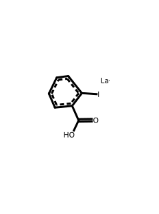 O=C(O)c1ccccc1I.[La]